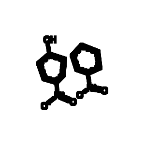 O=[N+]([O-])c1ccc(O)cc1.O=[N+]([O-])c1ccccc1